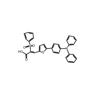 O=C(O)/C(=C/c1ccc(-c2ccc(N(c3ccccc3)c3ccccc3)cc2)s1)S(=O)(=O)c1ccccc1